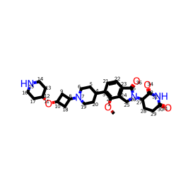 COc1c(C2CCN(C3CC(OC4CCNCC4)C3)CC2)ccc2c1CN(C1CCC(=O)NC1=O)C2=O